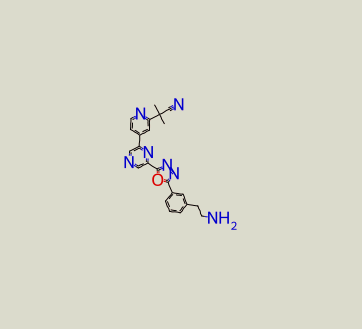 CC(C)(C#N)c1cc(-c2cncc(-c3nnc(-c4cccc(CCN)c4)o3)n2)ccn1